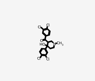 CN1CCC(O)(c2ccc(Cl)c(Cl)c2)C(C(=O)c2ccc(Cl)c(Cl)c2)C1